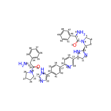 N[C@@H](C(=O)N1CCC[C@H]1C1=NCC(c2ccc(-c3ccc(-c4cnc([C@@H]5CCCN5C(=O)[C@H](N)c5ccccc5)[nH]4)cc3)nc2)N1)c1ccccc1